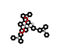 c1ccc(-c2cccc(-c3ccccc3)c2N2c3cc(-c4ccc5c(c4)c4ccccc4n5-c4ccccc4)ccc3B3c4ccc(-c5ccc6c(c5)c5ccccc5n6-c5ccccc5)cc4Oc4cc(-n5c6ccccc6c6ccccc65)cc2c43)cc1